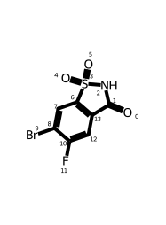 O=C1NS(=O)(=O)c2cc(Br)c(F)cc21